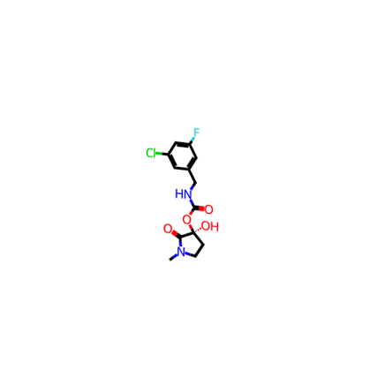 CN1CC[C@](O)(OC(=O)NCc2cc(F)cc(Cl)c2)C1=O